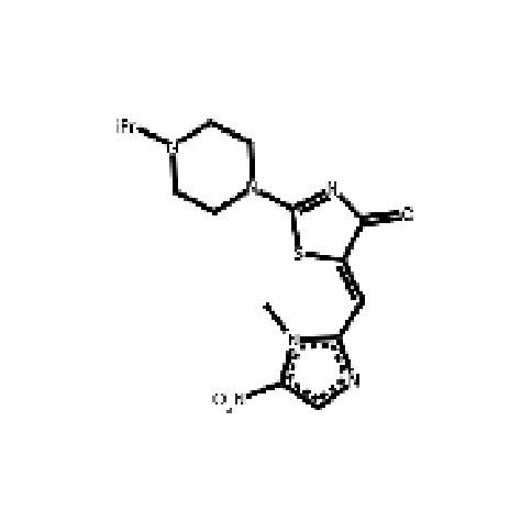 CC(C)N1CCN(C2=NC(=O)C(=Cc3ncc([N+](=O)[O-])n3C)S2)CC1